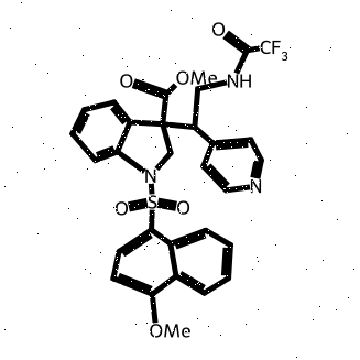 COC(=O)C1(C(CNC(=O)C(F)(F)F)c2ccncc2)CN(S(=O)(=O)c2ccc(OC)c3ccccc23)c2ccccc21